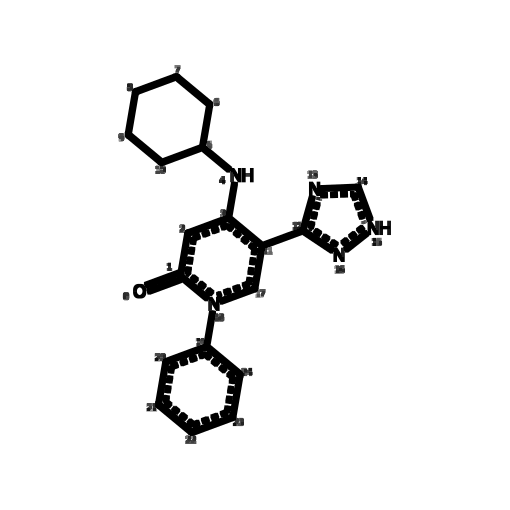 O=c1cc(NC2CCCCC2)c(-c2nc[nH]n2)cn1-c1ccccc1